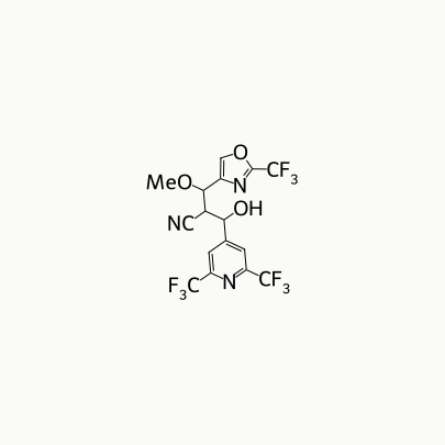 COC(c1coc(C(F)(F)F)n1)C(C#N)C(O)c1cc(C(F)(F)F)nc(C(F)(F)F)c1